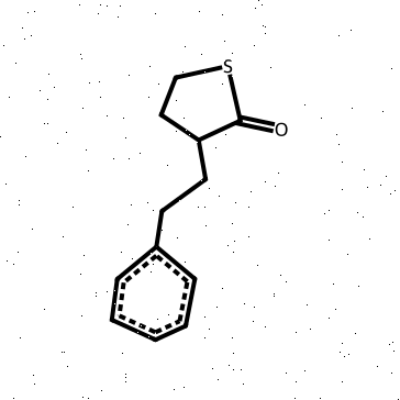 O=C1SCCC1CCc1ccccc1